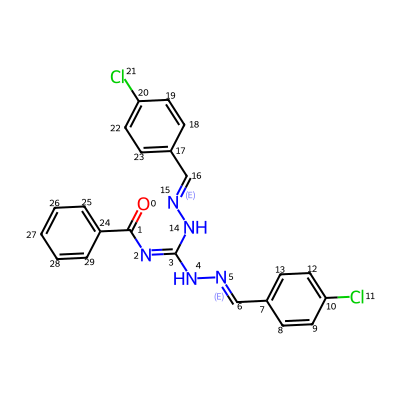 O=C(N=C(N/N=C/c1ccc(Cl)cc1)N/N=C/c1ccc(Cl)cc1)c1ccccc1